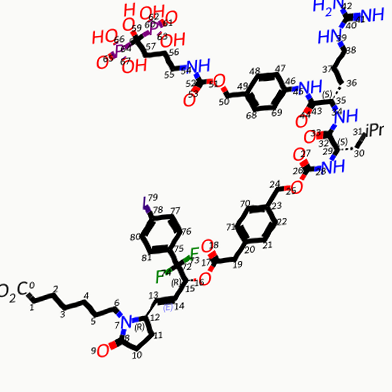 CCOC(=O)CCCCCCN1C(=O)CC[C@@H]1/C=C/[C@@H](OC(=O)Cc1ccc(COC(=O)N[C@@H](CC(C)C)C(=O)N[C@@H](CCCNC(=N)N)C(=O)Nc2ccc(COC(=O)NCCCC(O)(P(=O)(O)O)P(=O)(O)O)cc2)cc1)C(F)(F)c1ccc(I)cc1